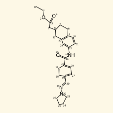 CCOC(=O)CC1CCc2ccc(NC(=O)c3ccc(/C=N/N4CCCC4)cc3)cc2C1